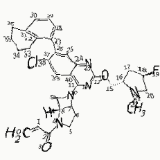 C=CC(=O)N1CCC2[C@H]1CN2c1nc(OC[C@@H]2C[C@@H](F)CN2C)nc2cc(-c3cccc4c3CCCC4)c(Cl)cc12